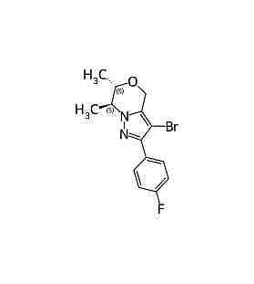 C[C@@H]1OCc2c(Br)c(-c3ccc(F)cc3)nn2[C@H]1C